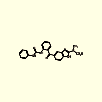 CN(C(=O)O)c1nc2cc(C(=O)c3ccccc3NC(=O)Nc3ccccc3)ccc2[nH]1